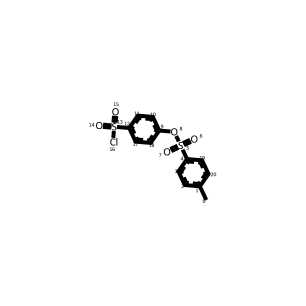 Cc1ccc(S(=O)(=O)Oc2ccc(S(=O)(=O)Cl)cc2)cc1